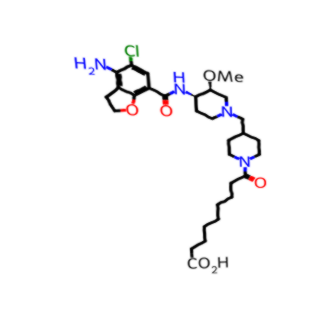 CO[C@H]1CN(CC2CCN(C(=O)CCCCCCCC(=O)O)CC2)CC[C@H]1NC(=O)c1cc(Cl)c(N)c2c1OCC2